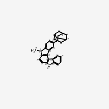 Cn1c2ccc(C34CC5CC(CC(C5)C3)C4)cc2c2c3c(ccc21)oc1ccccc13